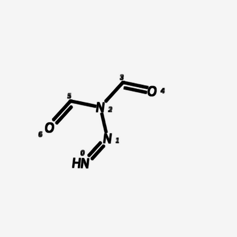 N=NN(C=O)C=O